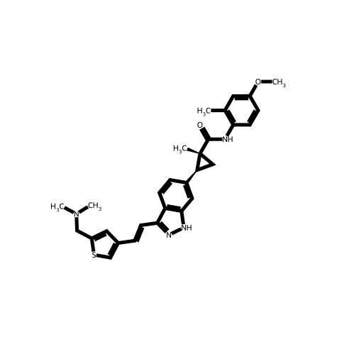 COc1ccc(NC(=O)[C@]2(C)C[C@H]2c2ccc3c(/C=C/c4csc(CN(C)C)c4)n[nH]c3c2)c(C)c1